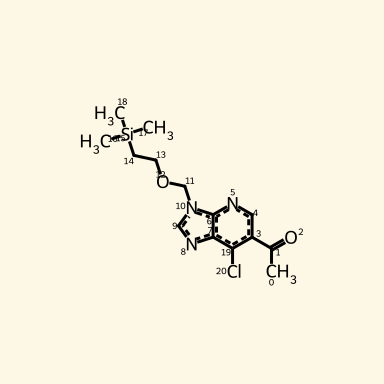 CC(=O)c1cnc2c(ncn2COCC[Si](C)(C)C)c1Cl